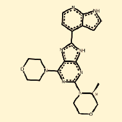 C[C@H]1COCCN1c1nc(N2CCOCC2)c2nc(-c3ccnc4[nH]ccc34)[nH]c2n1